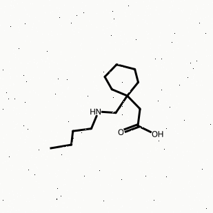 CCCCNCC1(CC(=O)O)CCCCC1